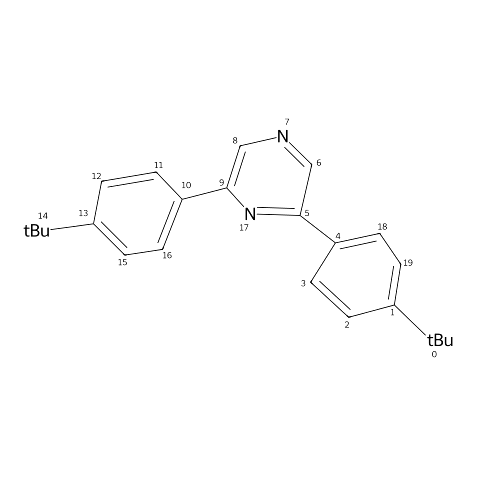 CC(C)(C)c1ccc(-c2cncc(-c3ccc(C(C)(C)C)cc3)n2)cc1